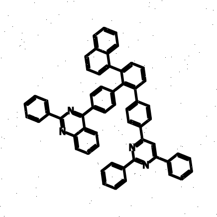 c1ccc(-c2cc(-c3ccc(-c4cccc(-c5cccc6ccccc56)c4-c4ccc(-c5nc(-c6ccccc6)nc6ccccc56)cc4)cc3)nc(-c3ccccc3)n2)cc1